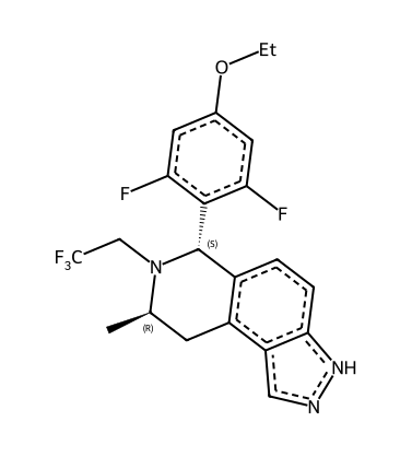 [CH2]COc1cc(F)c([C@@H]2c3ccc4[nH]ncc4c3C[C@@H](C)N2CC(F)(F)F)c(F)c1